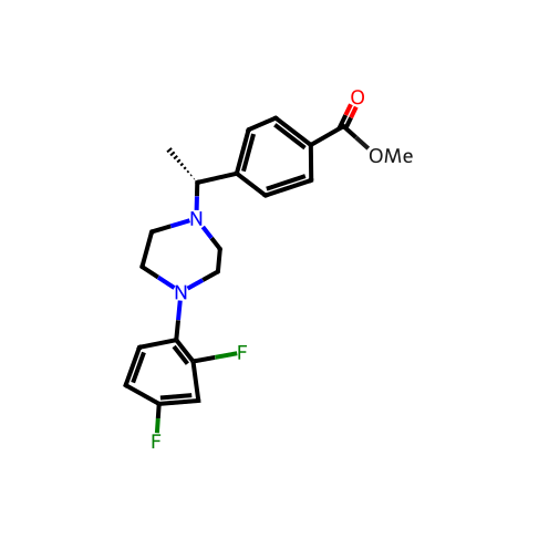 COC(=O)c1ccc([C@@H](C)N2CCN(c3ccc(F)cc3F)CC2)cc1